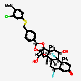 CNc1ccc(SCc2ccc([C@H]3O[C@@H]4C[C@H]5[C@@H]6C[C@H](F)C7=CC(=O)C=C[C@]7(C)[C@@]6(F)[C@@H](O)C[C@]5(C)[C@]4(C(=O)CO)O3)cc2)cc1Cl